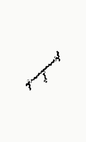 CCCCC(CC)C(=O)OCCCCCCCCCC(CCCCCCCCCOC(=O)C(CC)CCCC)OCCCCN(C)C